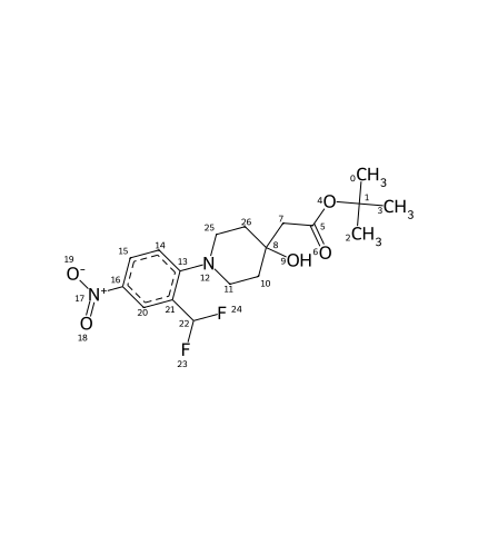 CC(C)(C)OC(=O)CC1(O)CCN(c2ccc([N+](=O)[O-])cc2C(F)F)CC1